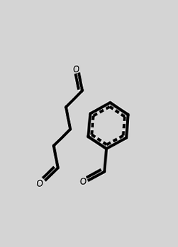 O=CCCCC=O.O=Cc1ccccc1